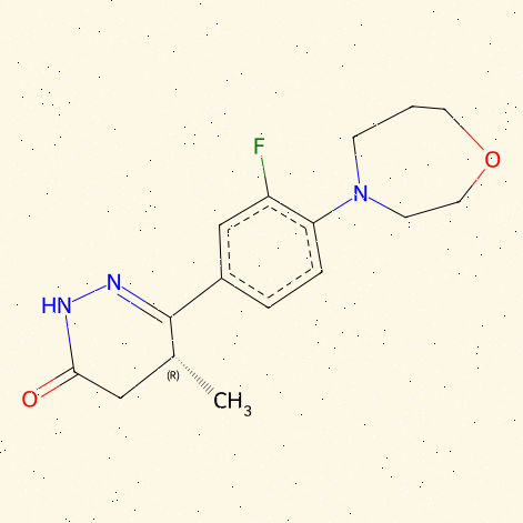 C[C@@H]1CC(=O)NN=C1c1ccc(N2CCCOCC2)c(F)c1